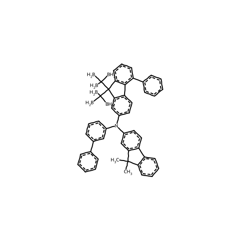 BC(B)(B)C1(C(B)(B)B)c2cc(N(c3cccc(-c4ccccc4)c3)c3ccc4c(c3)C(C)(C)c3ccccc3-4)ccc2-c2c(-c3ccccc3)cccc21